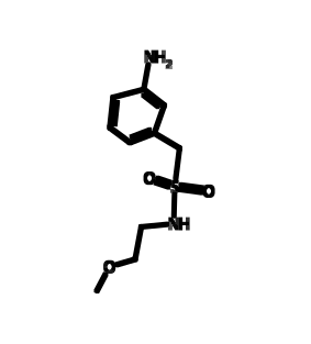 COCCNS(=O)(=O)Cc1cccc(N)c1